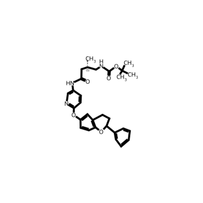 C[C@H](CNC(=O)OC(C)(C)C)CC(=O)Nc1ccc(Oc2ccc3c(c2)CCC(c2ccccc2)O3)nc1